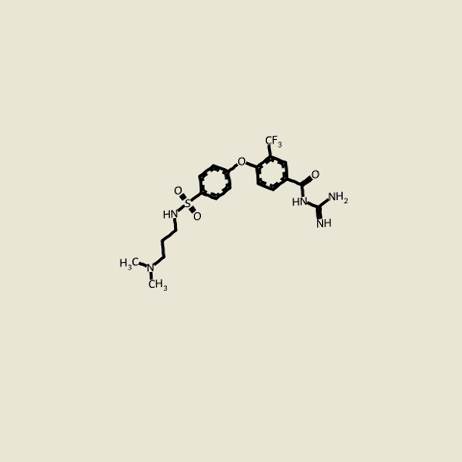 CN(C)CCCNS(=O)(=O)c1ccc(Oc2ccc(C(=O)NC(=N)N)cc2C(F)(F)F)cc1